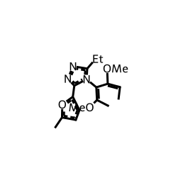 C/C=C(OC)\C(=C(/C)OC)n1c(CC)nnc1-c1ccc(C)o1